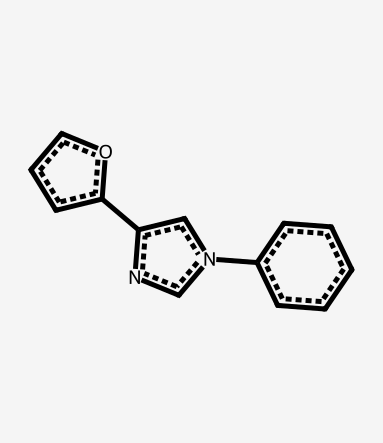 c1ccc(-n2cnc(-c3ccco3)c2)cc1